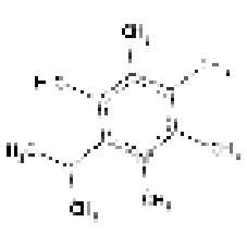 Cc1c(C)c(C)[n+](C)c(C(C)C)c1C